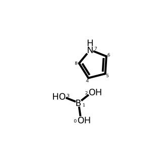 OB(O)O.c1cc[nH]c1